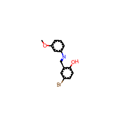 COc1cccc(N=Cc2cc(Br)ccc2O)c1